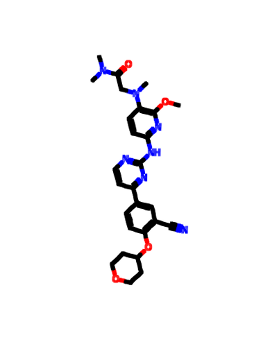 COc1nc(Nc2nccc(-c3ccc(OC4CCOCC4)c(C#N)c3)n2)ccc1N(C)CC(=O)N(C)C